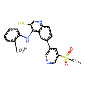 CS(=O)(=O)c1cncc(-c2ccc3ncc(S)c(Nc4ccccc4C(=O)O)c3c2)c1